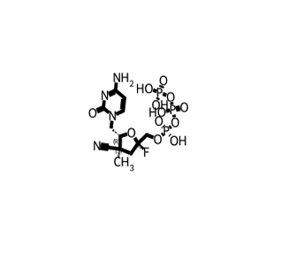 C[C@@]1(C#N)C[C@@](F)(COP(=O)(O)OP(=O)(O)OP(=O)(O)O)O[C@H]1Cn1ccc(N)nc1=O